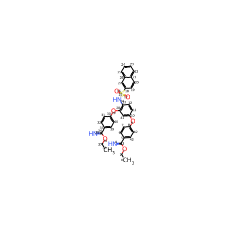 CCOC(=N)c1ccc(Oc2ccc(NS(=O)(=O)c3ccc4ccccc4c3)c(Oc3ccc(C(=N)OCC)cc3)c2)cc1